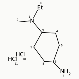 CCN(C)C1CCC(N)CC1.Cl.Cl